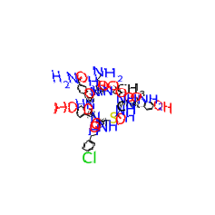 CC(O)C1NC(=O)[C@H](CCCCN)NC(=O)[C@@H](Cc2ccc(C(N)=O)cc2)NC(=O)[C@H](Cc2ccc(O)cc2)NC(=O)[C@H](NC(=O)CCc2ccc(Cl)cc2)CSC(=O)NC[C@@H](C(=O)N[C@H](Cc2ccc(O)cc2)C(N)=O)NC1=O